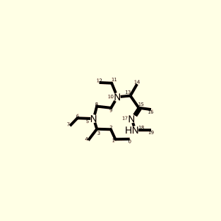 CCCC(C)N(CC)CCN(CC)C(C)/C(C)=N/NC